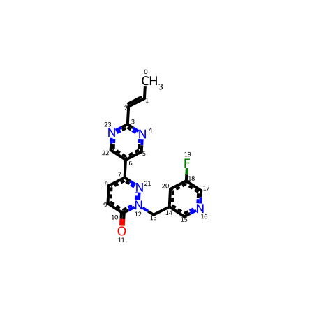 CC=Cc1ncc(-c2ccc(=O)n(Cc3cncc(F)c3)n2)cn1